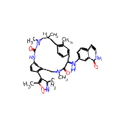 Cc1cc2ccc1[C@@H](C)CN(C)C(=O)Nc1ccc(-c3c(C)noc3C)c(c1)CN(C)C(=O)C2Nc1ccc2cc[nH]c(=O)c2c1